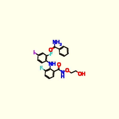 NC(=O)c1ccccc1.O=C(NOCCO)c1cccc(F)c1Nc1ccc(I)cc1F